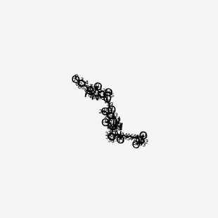 COc1ccc(C2=CN3C(=O)c4cc(OC)c(OCCCOc5cc6c(cc5OC)C(=O)N5C=C(c7ccccc7NC(=O)CCCCCN7C(=O)C=CC7=O)C[C@H]5C=N6)cc4N=C[C@@H]3C2)cc1